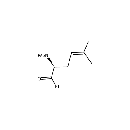 CCC(=O)[C@H](CC=C(C)C)NC